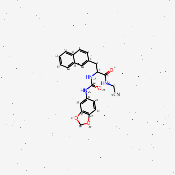 N#CCNC(=O)C(Cc1ccc2ccccc2c1)NC(=O)Nc1ccc2c(c1)OCO2